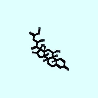 C[C@@H]1C[C@H]2[C@@H]3CCC4=CC(=O)C=C[C@]4(C)[C@H]3[C@@H](O)C[C@]2(C)[C@@]1(O)C(=O)C(O)CC(=O)OF